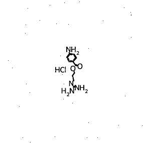 Cl.NC(N)=NCCCOC(=O)c1ccc(N)cc1